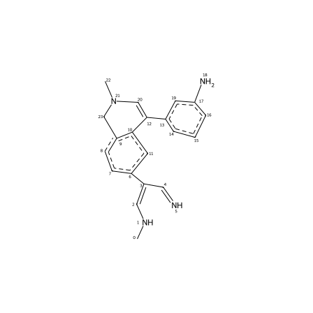 CN/C=C(\C=N)c1ccc2c(c1)C(c1cccc(N)c1)=CN(C)C2